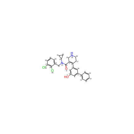 O=C(C1=C(c2cc(O)cc(-c3ccccc3)c2)CCNC1)N(Cc1cccc(Cl)c1Cl)C1CC1